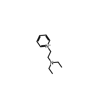 CCN(CC)CC[n+]1ccccc1